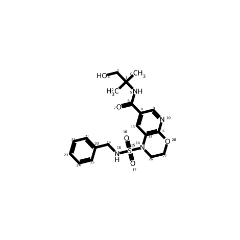 CC(C)(CO)NC(=O)c1cnc2c(c1)N(S(=O)(=O)NCc1ccccc1)CCO2